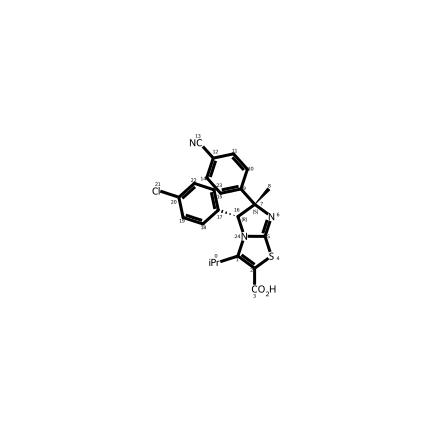 CC(C)C1=C(C(=O)O)SC2=N[C@@](C)(c3ccc(C#N)cc3)[C@@H](c3ccc(Cl)cc3)N21